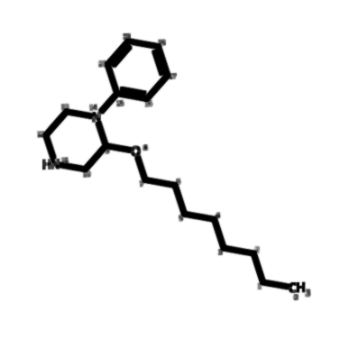 CCCCCCCCOC1CNCCN1c1ccccc1